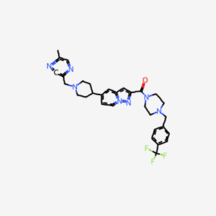 Cc1cnc(CN2CCC(c3ccn4nc(C(=O)N5CCN(Cc6ccc(C(F)(F)F)cc6)CC5)cc4c3)CC2)cn1